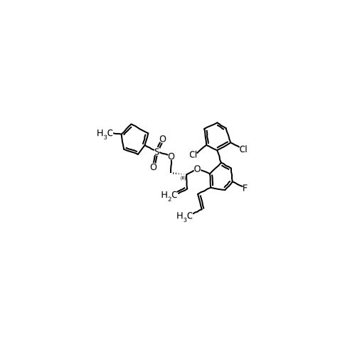 C=C[C@H](COS(=O)(=O)c1ccc(C)cc1)Oc1c(C=CC)cc(F)cc1-c1c(Cl)cccc1Cl